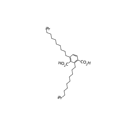 CC(C)CCCCCCCCCc1ccc(C(=O)O)c(CCCCCCCCCC(C)C)c1C(=O)O